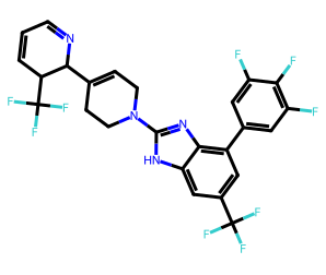 Fc1cc(-c2cc(C(F)(F)F)cc3[nH]c(N4CC=C(C5N=CC=CC5C(F)(F)F)CC4)nc23)cc(F)c1F